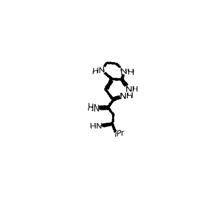 CC(C)C(=N)CC(=N)C(=N)/C=C1/NCCNC1=N